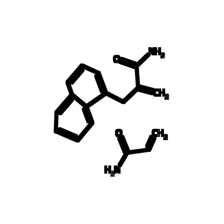 C=C(Cc1cccc2ccccc12)C(N)=O.C=CC(N)=O